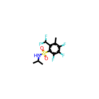 Cc1c(F)c(F)c(F)c(S(=O)(=O)NC(C)C)c1C(F)F